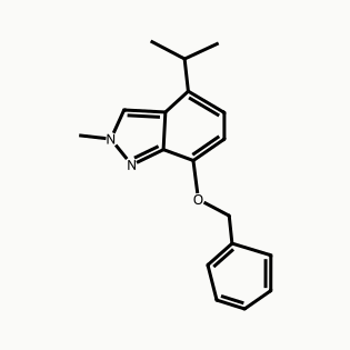 CC(C)c1ccc(OCc2ccccc2)c2nn(C)cc12